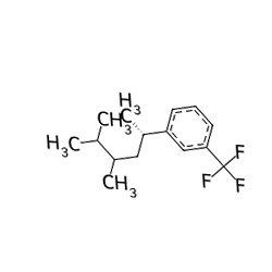 CC(C)C(C)C[C@H](C)c1cccc(C(F)(F)F)c1